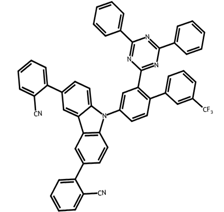 N#Cc1ccccc1-c1ccc2c(c1)c1cc(-c3ccccc3C#N)ccc1n2-c1ccc(-c2cccc(C(F)(F)F)c2)c(-c2nc(-c3ccccc3)nc(-c3ccccc3)n2)c1